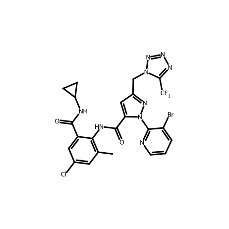 Cc1cc(Cl)cc(C(=O)NC2CC2)c1NC(=O)c1cc(Cn2nnnc2C(F)(F)F)nn1-c1ncccc1Br